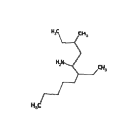 CCCCCC(CC)C(N)CC(C)CC